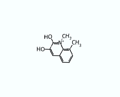 Cc1cccc2cc(O)c(O)[n+](C)c12